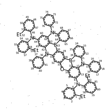 CCc1ccccc1N(c1cc2c3c(c1)N(c1ccccc1)c1ccccc1B3c1cc3c(cc1O2)N(c1ccccc1)c1cc(N(c2ccccc2CC)c2ccccc2CC)cc2c1B3c1ccccc1N2c1ccccc1)c1ccccc1CC